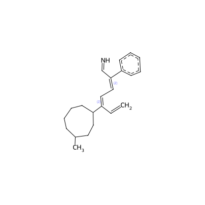 C=C/C(=C\C=C(/C=N)c1ccccc1)C1CCCCC(C)CC1